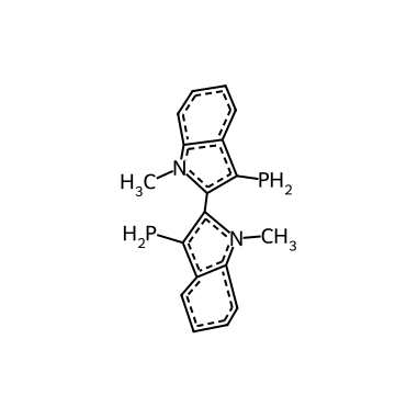 Cn1c(-c2c(P)c3ccccc3n2C)c(P)c2ccccc21